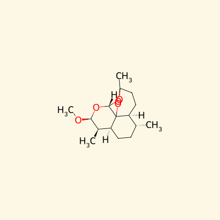 CO[C@H]1O[C@@H]2OC3(C)CC[C@H]4[C@H](C)CC[C@@H]([C@H]1C)C24OO3